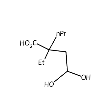 CCCC(CC)(CC(O)O)C(=O)O